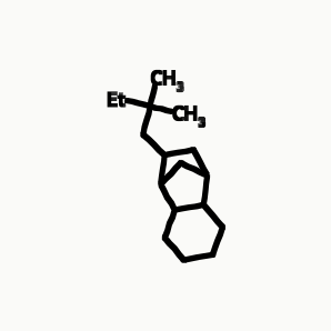 CCC(C)(C)CC1CC2CC1C1CCCCC21